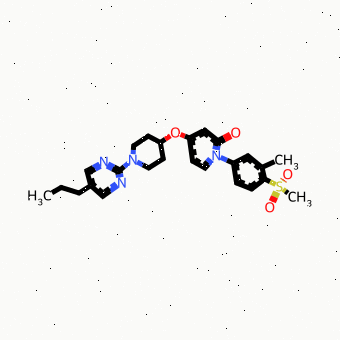 CCCc1cnc(N2CCC(Oc3ccn(-c4ccc(S(C)(=O)=O)c(C)c4)c(=O)c3)CC2)nc1